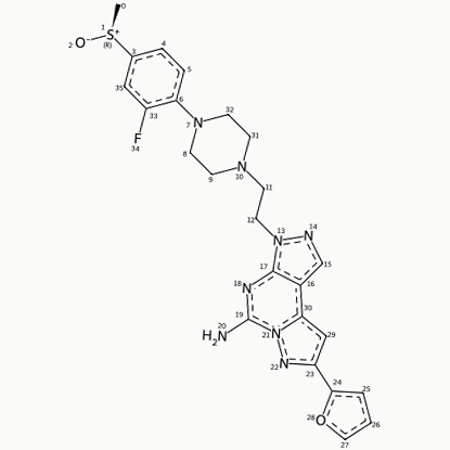 C[S@+]([O-])c1ccc(N2CCN(CCn3ncc4c3nc(N)n3nc(-c5ccco5)cc43)CC2)c(F)c1